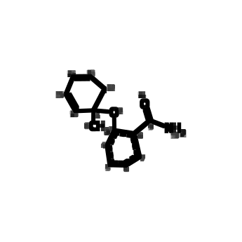 CC1(Oc2ccccc2C(N)=O)[CH]C=CC=C1